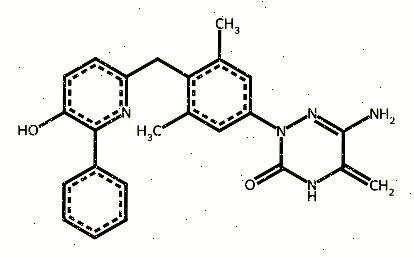 C=C1NC(=O)N(c2cc(C)c(Cc3ccc(O)c(-c4ccccc4)n3)c(C)c2)N=C1N